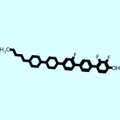 CCCCCC1CCC(C2CCC(c3ccc(-c4ccc(-c5ccc(O)c(F)c5F)cc4)c(F)c3)CC2)CC1